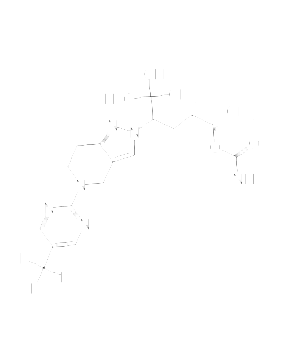 C[C@@H](CCC(n1cc2c(n1)CCN(c1ncc(C(F)(F)F)cn1)C2)C(C)(C)C)OC(N)=O